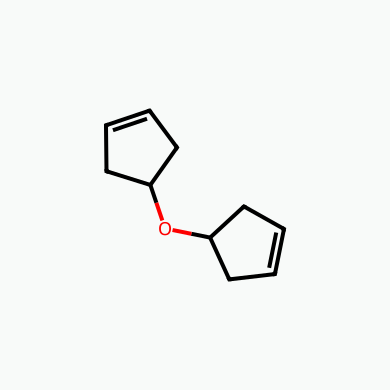 C1=CCC(OC2CC=CC2)C1